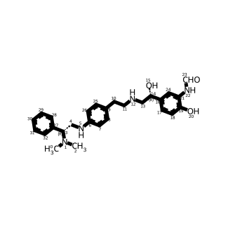 CN(C)[C@@H](CNc1ccc(CCNC[C@H](O)c2ccc(O)c(NC=O)c2)cc1)c1ccccc1